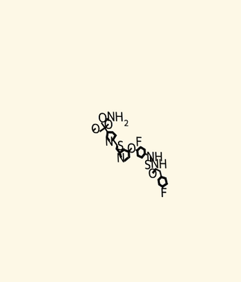 COCC(C)(OC(N)=O)c1ccc(-c2cc3nccc(Oc4ccc(NC(=S)NC(=O)Cc5ccc(F)cc5)cc4F)c3s2)nc1